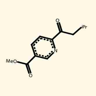 COC(=O)c1ccc(C(=O)CC(C)C)nc1